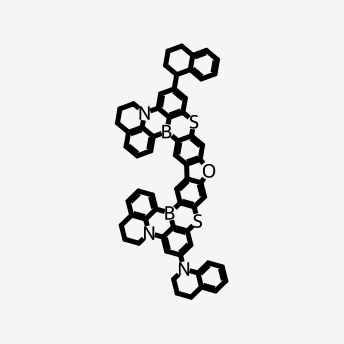 c1ccc2c(c1)CCCC2c1cc2c3c(c1)N1CCCc4cccc(c41)B3c1cc3c(cc1S2)oc1cc2c(cc13)B1c3cccc4c3N(CCC4)c3cc(N4CCCc5ccccc54)cc(c31)S2